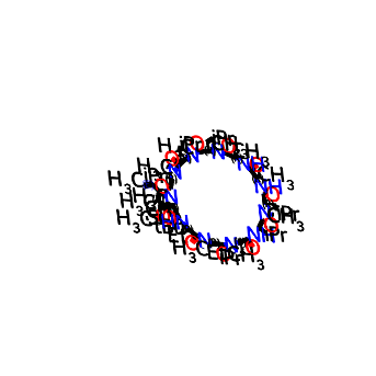 C/C=C/C[C@@H](C)[C@H](O[Si](C)(C)C(C)(C)C)[C@@H]1C(=O)N[C@H](CC)C(=O)N(C)[C@H](CC)C(=O)N(C)[C@@H](CC(C)C)C(=O)NC(C(C)C)C(=O)N(C)[C@H](CC(C)C)C(=O)N[C@H](C)C(=O)N[C@H](C)C(=O)N(C)[C@H](CC(C)C)C(=O)N(C)[C@H](CC(C)C)C(=O)N(C)[C@H](C(C)C)C(=O)N1C